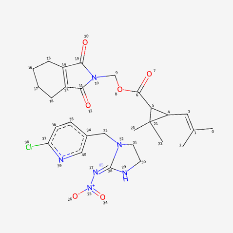 CC(C)=CC1C(C(=O)OCN2C(=O)C3=C(CCCC3)C2=O)C1(C)C.O=[N+]([O-])/N=C1\NCCN1Cc1ccc(Cl)nc1